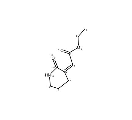 CCOC(=O)/C=C1/CCCNC1=O